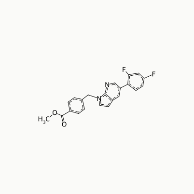 COC(=O)c1ccc(Cn2ccc3cc(-c4ccc(F)cc4F)cnc32)cc1